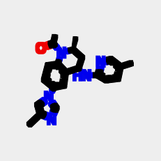 CC(=O)N1c2ccc(-n3cnc(C)c3)cc2[C@H](Nc2ccc(C)cn2)C[C@@H]1C